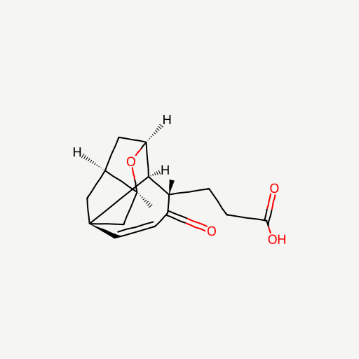 C[C@]12C[C@@]34C=CC(=O)[C@@](C)(CCC(=O)O)[C@@H]3[C@H](C[C@@H]1C4)O2